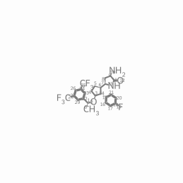 C[C@@H](O[C@H]1CC[C@@H]([C@H]2C[C@@H](N)C(=O)N2)[C@@H]1c1ccc(F)cc1)c1cc(C(F)(F)F)cc(C(F)(F)F)c1